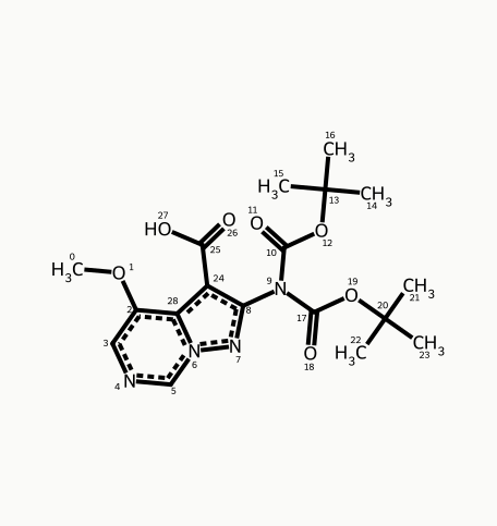 COc1cncn2nc(N(C(=O)OC(C)(C)C)C(=O)OC(C)(C)C)c(C(=O)O)c12